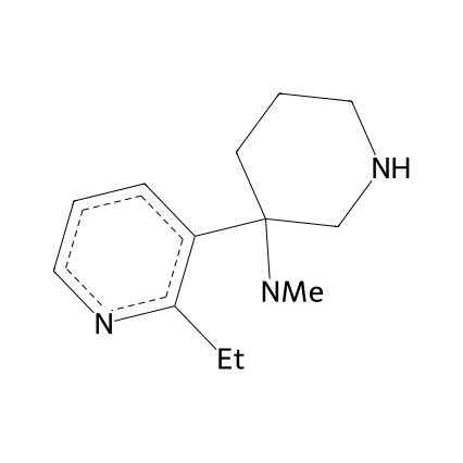 CCc1ncccc1C1(NC)CCCNC1